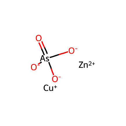 O=[As]([O-])([O-])[O-].[Cu+].[Zn+2]